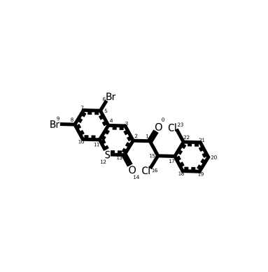 O=C(c1cc2c(Br)cc(Br)cc2sc1=O)C(Cl)c1ccccc1Cl